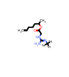 [2H]C([2H])([2H])N=C(N)NCC(=O)OC(C)CCCC=C